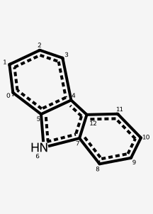 [c]1cccc2c1[nH]c1[c]cccc12